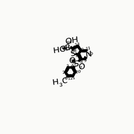 Cc1ccc(S(=O)(=O)c2cncc3cc(B(O)O)sc23)cc1